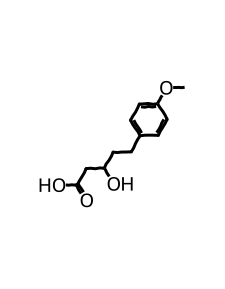 COc1ccc(CCC(O)CC(=O)O)cc1